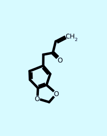 C=CC(=O)Cc1ccc2c(c1)OCO2